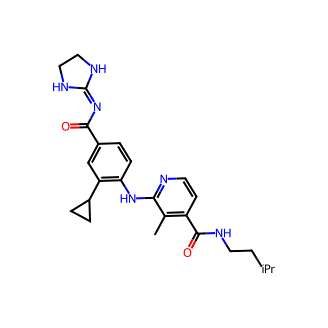 Cc1c(C(=O)NCCC(C)C)ccnc1Nc1ccc(C(=O)N=C2NCCN2)cc1C1CC1